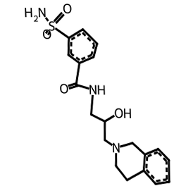 NS(=O)(=O)c1cccc(C(=O)NCC(O)CN2CCc3ccccc3C2)c1